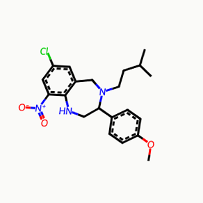 COc1ccc(C2CNc3c(cc(Cl)cc3[N+](=O)[O-])CN2CCC(C)C)cc1